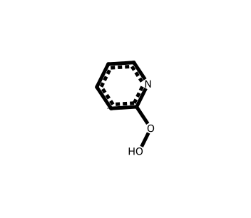 OOc1[c]cccn1